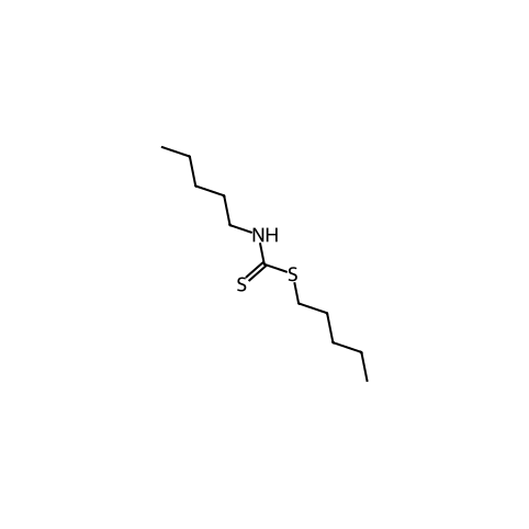 CCCCCNC(=S)SCCCCC